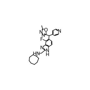 Cc1nnc(C(c2ccncc2)c2ccc3[nH]c(CNC4CCCCCCC4)nc3c2F)o1